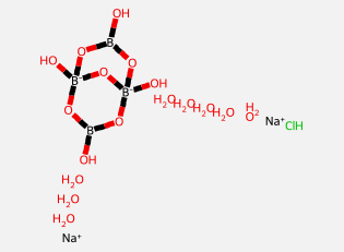 Cl.O.O.O.O.O.O.O.O.OB1O[B-]2(O)OB(O)O[B-](O)(O1)O2.[Na+].[Na+]